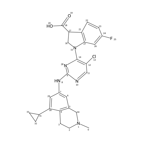 CN1CCc2c(cc(Nc3ncc(Cl)c(N4CC(C(=O)O)c5ccc(F)cc54)n3)cc2C2CC2)C1